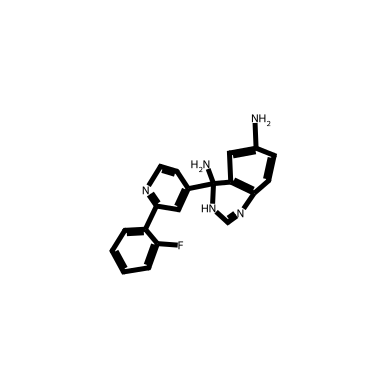 Nc1ccc2c(c1)C(N)(c1ccnc(-c3ccccc3F)c1)NC=N2